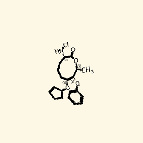 C[C@@H]1OC(=O)[C@@H](NCl)CCC[C@H](OC2CCCC2)[C@H]1Oc1ccccc1